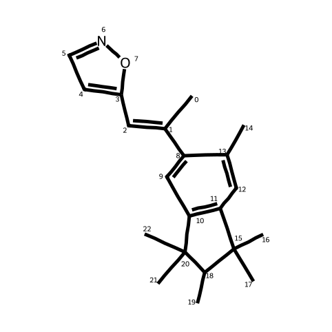 C/C(=C\c1ccno1)c1cc2c(cc1C)C(C)(C)C(C)C2(C)C